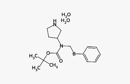 CC(C)(C)OC(=O)N(C[B]c1ccccc1)C1CCNC1.O.O